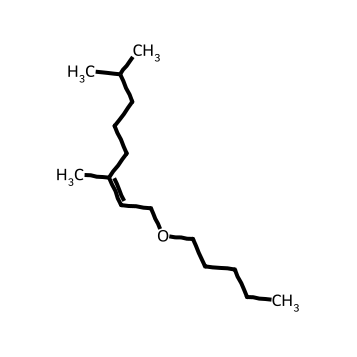 CCCCCOCC=C(C)CCCC(C)C